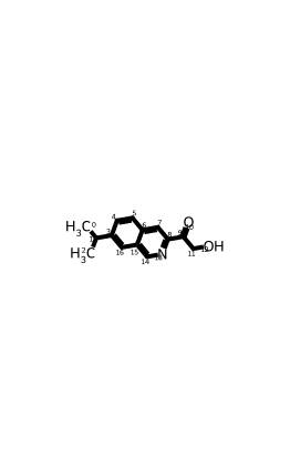 CC(C)c1ccc2cc(C(=O)CO)ncc2c1